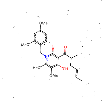 CC=CCC(C)C(=O)c1c(O)c(OC)c(OC)n(Cc2ccc(OC)cc2OC)c1=O